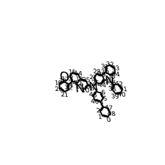 c1ccc(-c2ccc(N(c3cnc4c(ccc5oc6ccccc6c54)c3)c3ccc4c5ccccc5n(-c5ccccc5)c4c3)cc2)cc1